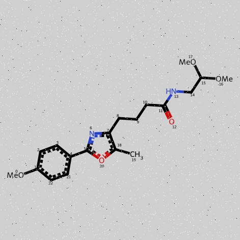 COc1ccc(-c2nc(CCCC(=O)NCC(OC)OC)c(C)o2)cc1